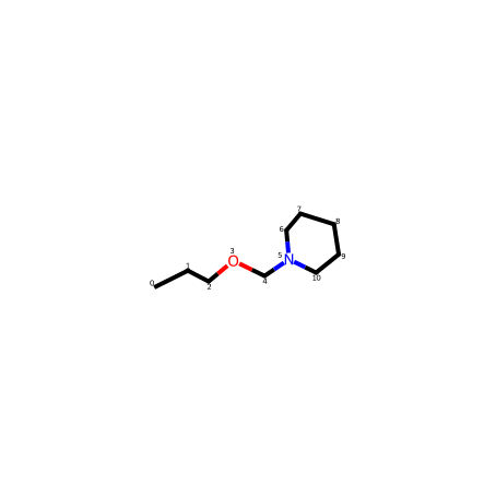 CCCOCN1CCCCC1